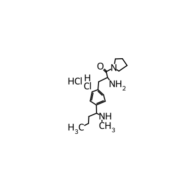 CCCC(NC)c1ccc(CC(N)C(=O)N2CCCC2)cc1.Cl.Cl